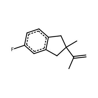 C=C(C)C1(C)Cc2ccc(F)cc2C1